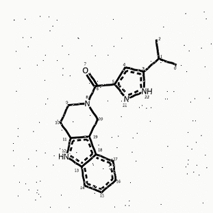 CC(C)c1cc(C(=O)N2CCc3[nH]c4ccccc4c3C2)n[nH]1